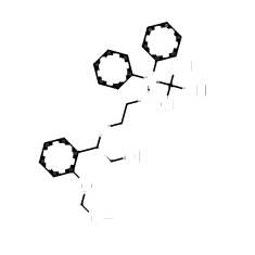 CCOc1ccccc1[C@H](CO)OCCO[Si](c1ccccc1)(c1ccccc1)C(C)(C)C